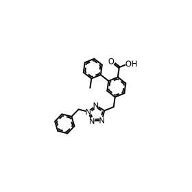 Cc1ccccc1-c1cc(Cc2nnn(Cc3ccccc3)n2)ccc1C(=O)O